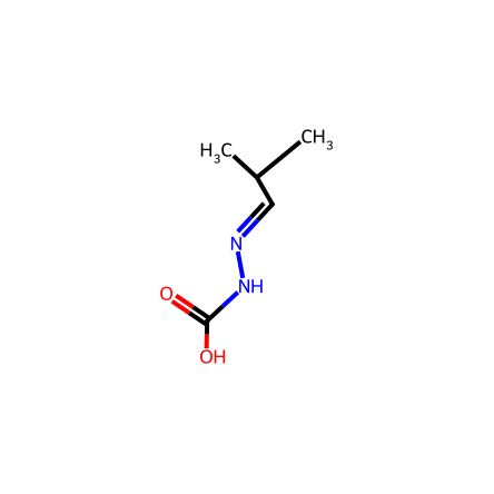 CC(C)/C=N/NC(=O)O